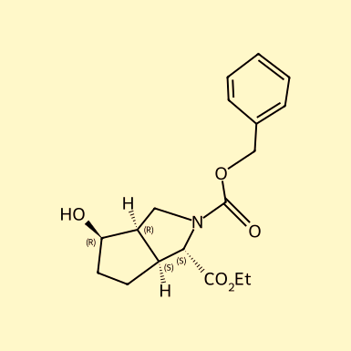 CCOC(=O)[C@@H]1[C@H]2CC[C@@H](O)[C@H]2CN1C(=O)OCc1ccccc1